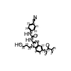 CC(C)C(=O)N(C)c1ccc2c(c1)nc(NC(=O)Nc1ccc(C#N)cc1)n2CCCO